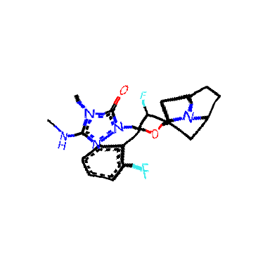 CNc1nn(CC(F)CN2C3CCC2CC(OCc2ccccc2F)C3)c(=O)n1C